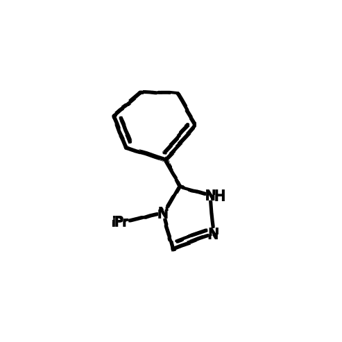 CC(C)N1C=NNC1C1=CCCC=C1